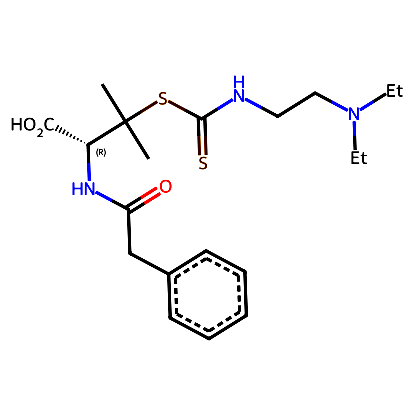 CCN(CC)CCNC(=S)SC(C)(C)[C@H](NC(=O)Cc1ccccc1)C(=O)O